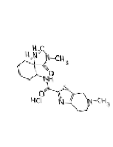 CN1CCc2nc(C(=O)NC3CCCCC3(N)C(=O)N(C)C)sc2C1.Cl